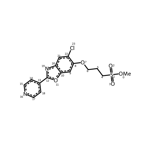 COS(=O)(=O)CCCOc1cc2oc(-c3ccncc3)nc2cc1Cl